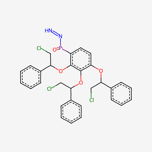 N=N[P](=O)c1ccc(OC(CCl)c2ccccc2)c(OC(CCl)c2ccccc2)c1OC(CCl)c1ccccc1